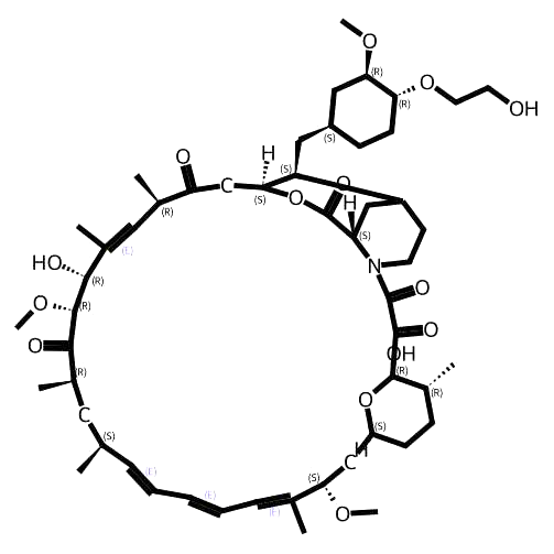 CO[C@H]1C[C@@H]2CC[C@@H](C)[C@@](O)(O2)C(=O)C(=O)N2CCC3C[C@H]2C(=O)O[C@@H](CC(=O)[C@H](C)/C=C(\C)[C@@H](O)[C@@H](OC)C(=O)[C@H](C)C[C@H](C)/C=C/C=C/C=C/1C)[C@H]3C[C@@H]1CC[C@@H](OCCO)[C@H](OC)C1